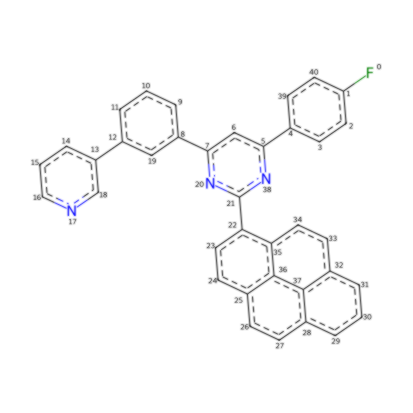 Fc1ccc(-c2cc(-c3cccc(-c4cccnc4)c3)nc(-c3ccc4ccc5cccc6ccc3c4c56)n2)cc1